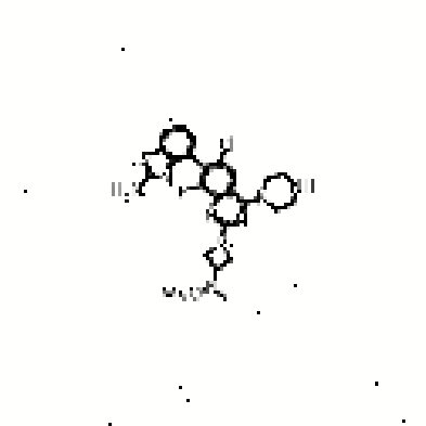 CON(C)C1CN(c2nc(N3CCNCC3)c3cc(Cl)c(-c4cccc5sc(N)nc45)c(F)c3n2)C1